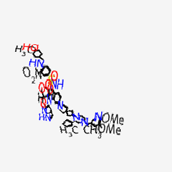 COc1cc([C@H](C)N2CCN(C3CC4(CCN(c5ccc(C(=O)NS(=O)(=O)c6ccc(NCC7CCC(C)(O)CC7)c([N+](=O)[O-])c6)c(N6c7cc8cc[nH]c8nc7O[C@H]7COCC[C@@H]76)c5)CC4)C3)[C@H](c3ccccc3C)C2)cnc1OC